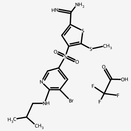 CSc1sc(C(=N)N)cc1S(=O)(=O)c1cnc(NCC(C)C)c(Br)c1.O=C(O)C(F)(F)F